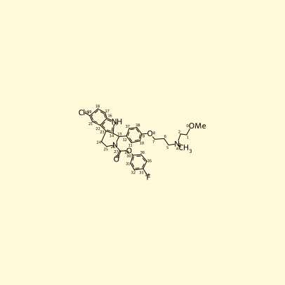 COCCN(C)CCCOc1ccc(C2c3[nH]c4ccc(Cl)cc4c3CCN2C(=O)Oc2ccc(F)cc2)cc1